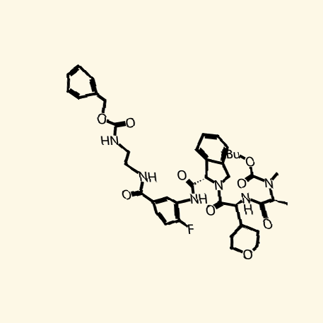 C[C@@H](C(=O)N[C@H](C(=O)N1Cc2ccccc2[C@H]1C(=O)Nc1cc(C(=O)NCCNC(=O)OCc2ccccc2)ccc1F)C1CCOCC1)N(C)C(=O)OC(C)(C)C